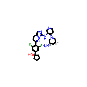 C[C@@H]1C[C@H](N)CN(c2ccncc2Nc2ncc3ccc(-c4c(F)cc(C5(O)CCCC5)cc4F)nn23)C1